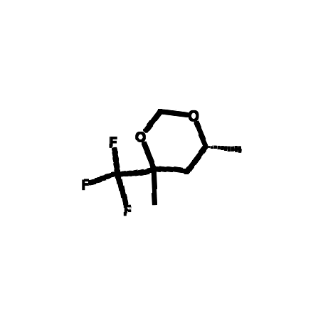 C[C@@H]1CC(C)(C(F)(F)F)OCO1